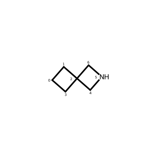 C1CC2(C1)CNC2